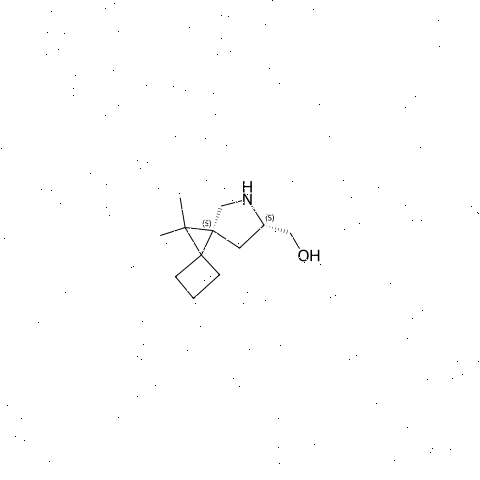 CC1(C)C2(CCC2)[C@@]12CN[C@H](CO)C2